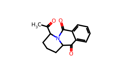 CC(=O)C1CCCC2C(=O)c3ccccc3C(=O)N12